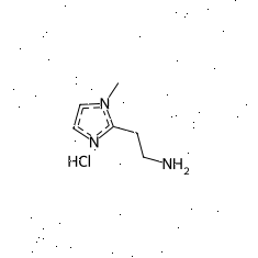 Cl.Cn1ccnc1CCN